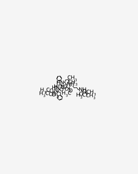 COC(=O)[C@@H](CCCCNC(=O)OC(C)(C)C)NC(=O)C(CC(C)C)NC(=O)[C@@H](Cc1ccccc1)NC(=O)C1(NC(=O)OC(C)(C)C)Cc2ccccc2C1